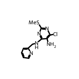 CSc1nc(Cl)c(N)c(NCc2ccccn2)n1